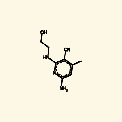 Cc1cc(N)nc(NCCO)c1C#N